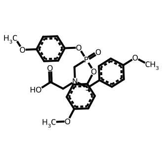 COc1ccc(OP(=O)(CN(CC(=O)O)Sc2ccc(OC)cc2)Oc2ccc(OC)cc2)cc1